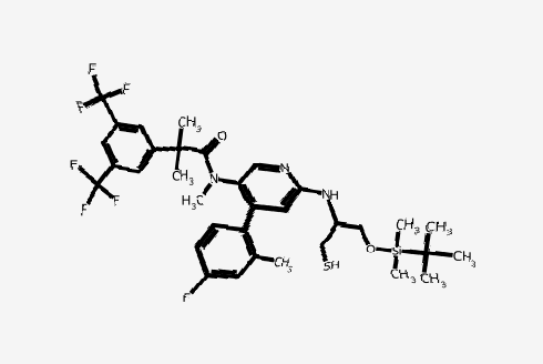 Cc1cc(F)ccc1-c1cc(NC(CS)CO[Si](C)(C)C(C)(C)C)ncc1N(C)C(=O)C(C)(C)c1cc(C(F)(F)F)cc(C(F)(F)F)c1